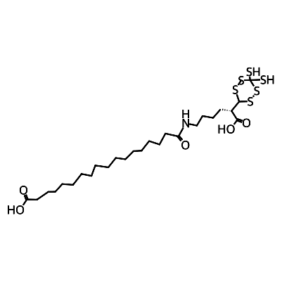 O=C(O)CCCCCCCCCCCCCCCCC(=O)NCCCC[C@@H](C(=O)O)C1SSC(S)(S)SS1